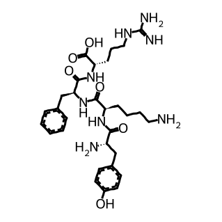 N=C(N)NCCC[C@H](NC(=O)[C@H](Cc1ccccc1)NC(=O)[C@@H](CCCCN)NC(=O)[C@@H](N)Cc1ccc(O)cc1)C(=O)O